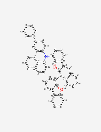 c1ccc(-c2ccc(N(c3cccc4ccccc34)c3cccc4c3oc3c(-c5cccc6c5oc5ccccc56)c5ccccc5cc34)cc2)cc1